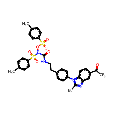 CCc1nc2cc(C(=O)C(F)(F)F)ccc2n1-c1ccc(CCNC(=O)N(OS(=O)(=O)c2ccc(C)cc2)S(=O)(=O)c2ccc(C)cc2)cc1